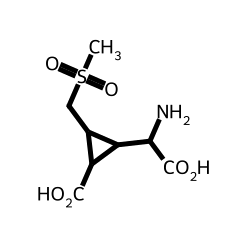 CS(=O)(=O)CC1C(C(=O)O)C1C(N)C(=O)O